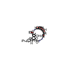 CCOc1c(C)c(O)c2c3c1C(=O)O/C=C/[C@H](OC)[C@@H](C)[C@@H](O)[C@H](C)[C@H](O)[C@H](C)[C@H]1O[C@@](C)(/C=C/C=C(/C)C(=O)NC(=C4NC5(CCN(CC(C)C)CC5)N=C43)C2=O)[C@@H]1C